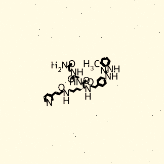 Cc1cccc2[nH]c(Nc3ccc(CC(=O)N[C@H](CCCCNC(=O)/C=C/c4cccnc4)C(=O)NCC(=O)NCC(N)=O)cc3)nc12